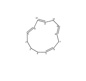 [C]1=C/CCC/C=C\C/C=C/C/C=C/1